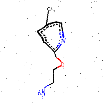 NCCOc1ccc(C(F)(F)F)cn1